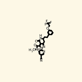 CNC(=O)c1c2c(nn1-c1ccc(C#N)cn1)CC(CCc1cccc(OCC(F)(F)F)c1)NC2=O